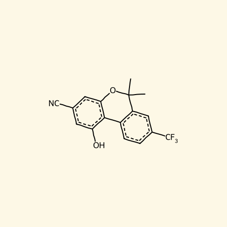 CC1(C)Oc2cc(C#N)cc(O)c2-c2ccc(C(F)(F)F)cc21